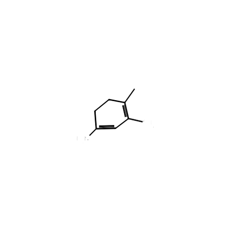 CC1=C(P)C=C(N)CC1